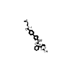 CN(C)CCNC(=O)c1ccc(-c2ccc(NC(=O)NC3(c4ccnc(C#N)n4)CCCCC3)cc2)cc1